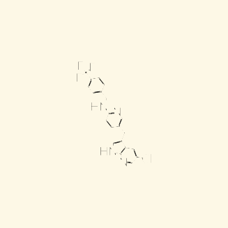 FC(F)(F)c1ccc(CNc2ccc(Cc3c[nH]c4ncc(Cl)cc34)cn2)cc1